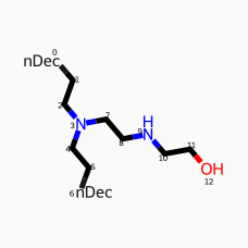 CCCCCCCCCCCCN(CCCCCCCCCCCC)CCNCCO